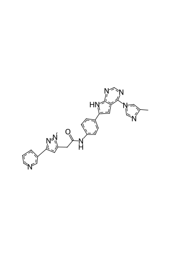 Cc1cn(-c2ncnc3[nH]c(-c4ccc(NC(=O)Cc5cc(-c6cccnc6)nn5C)cc4)cc23)cn1